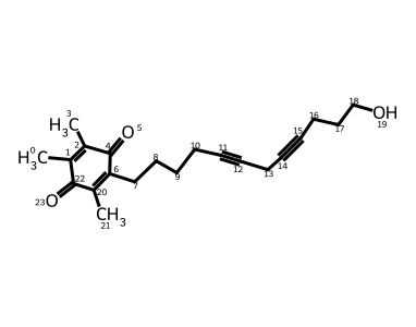 CC1=C(C)C(=O)C(CCCCC#CCC#CCCCO)=C(C)C1=O